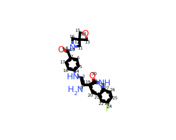 N/C(=C\Nc1ccc(C(=O)N2CC3(COC3)C2)cc1)c1cc2cc(F)ccc2[nH]c1=O